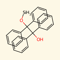 OC(c1ccccc1)(c1ccccc1)C(O[SiH3])(c1ccccc1)c1ccccc1